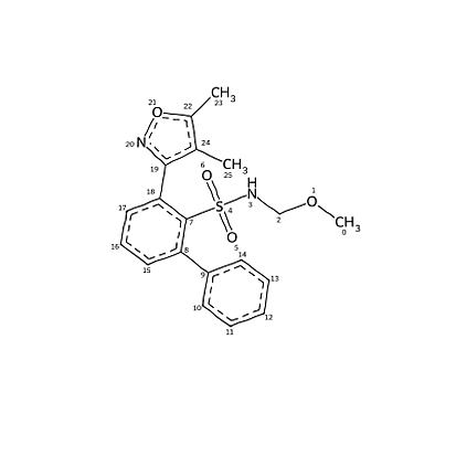 COCNS(=O)(=O)c1c(-c2ccccc2)cccc1-c1noc(C)c1C